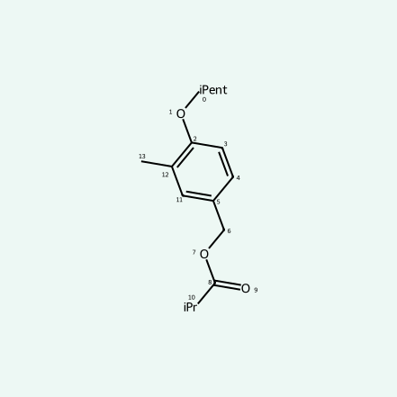 CCCC(C)Oc1ccc(COC(=O)C(C)C)cc1C